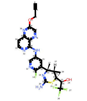 C#CCOc1cnc2c(Nc3cnc(F)c([C@@]4(C)N=C(N)S[C@@]5([C@@H](O)C(F)(F)F)C[C@H]54)c3)nccc2n1